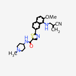 C=C(C#N)CNc1c(OC)ccc2ccc(-c3ncc(C(=O)NC4CCN(C)CC4)s3)cc12